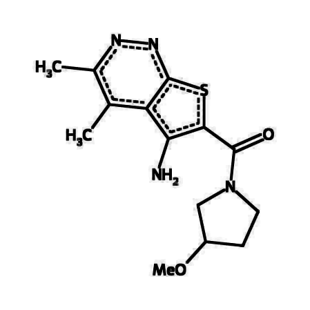 COC1CCN(C(=O)c2sc3nnc(C)c(C)c3c2N)C1